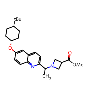 COC(=O)C1CN(C(C)c2ccc3cc(O[C@H]4CC[C@H](C(C)(C)C)CC4)ccc3n2)C1